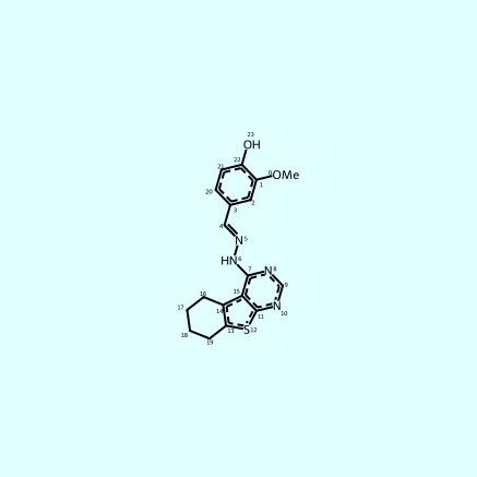 COc1cc(/C=N/Nc2ncnc3sc4c(c23)CCCC4)ccc1O